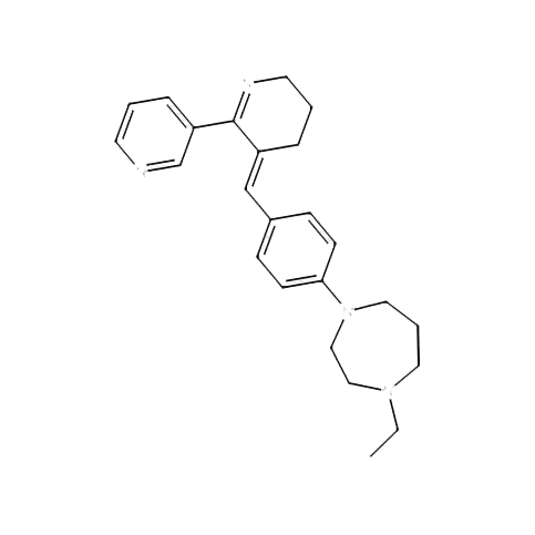 CCN1CCCN(c2ccc(C=C3CCCN=C3c3cccnc3)cc2)CC1